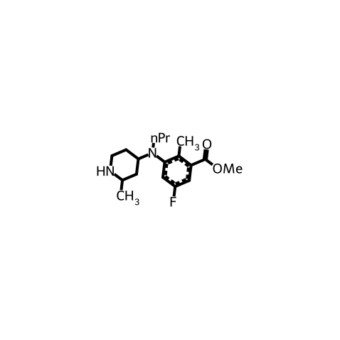 CCCN(c1cc(F)cc(C(=O)OC)c1C)C1CCNC(C)C1